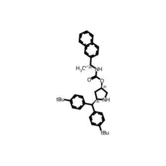 C[C@@H](NC(=O)O[C@H]1CN[C@@H](C(c2ccc(C(C)(C)C)cc2)c2ccc(C(C)(C)C)cc2)C1)c1ccc2ccccc2c1